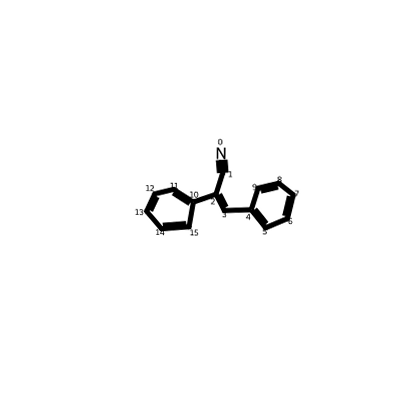 N#CC(=Cc1ccccc1)c1ccccc1